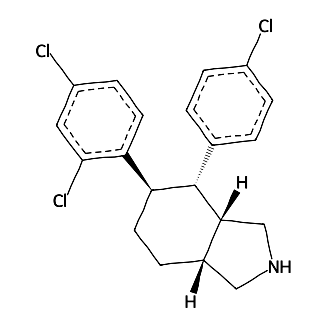 Clc1ccc([C@@H]2[C@@H]3CNC[C@@H]3CC[C@H]2c2ccc(Cl)cc2Cl)cc1